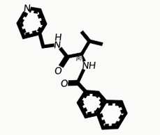 CC(C)[C@@H](NC(=O)c1ccc2ccccc2c1)C(=O)NCc1ccncc1